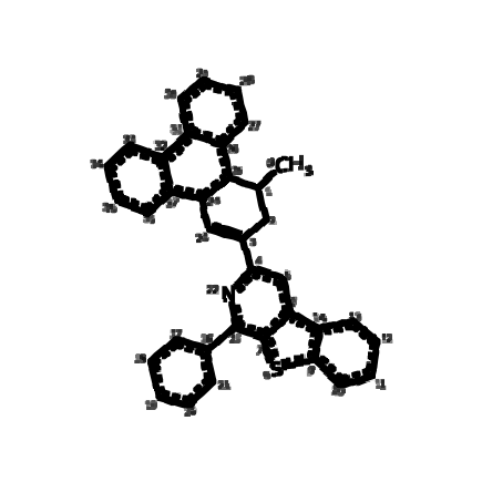 CC1CC(c2cc3c(sc4ccccc43)c(-c3ccccc3)n2)=Cc2c1c1ccccc1c1ccccc21